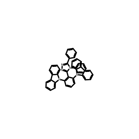 c1ccc(-c2nnc(-c3c(-n4c5ccccc5c5ccccc54)cccc3-n3c4ccccc4c4ccccc43)n2-c2ccccc2)cc1